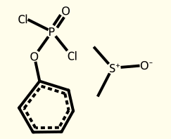 C[S+](C)[O-].O=P(Cl)(Cl)Oc1ccccc1